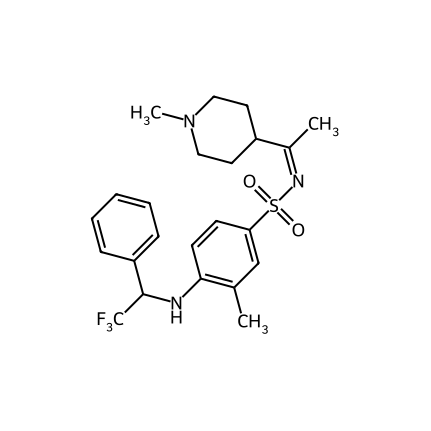 C/C(=N/S(=O)(=O)c1ccc(NC(c2ccccc2)C(F)(F)F)c(C)c1)C1CCN(C)CC1